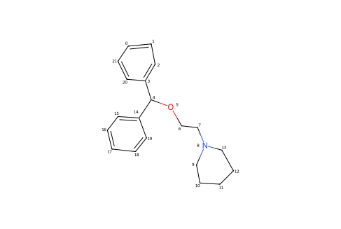 c1ccc(C(OCCN2CCCCC2)c2ccccc2)cc1